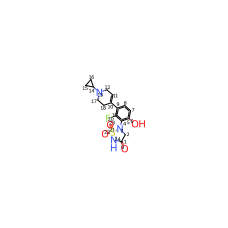 O=C1CN(c2c(O)ccc(C3=CCN(C4CC4)CC3)c2F)S(=O)(=O)N1